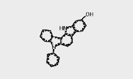 Oc1ccc2c(c1)[nH]c1c2ccc2c1c1ccccc1n2-c1ccccc1